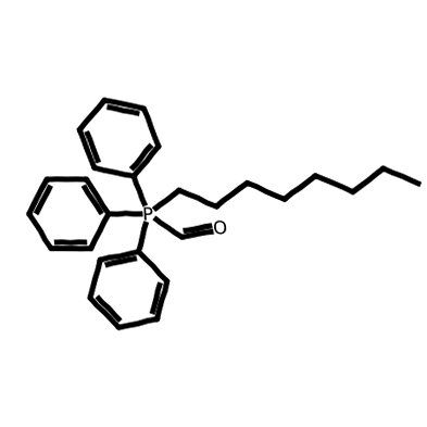 CCCCCCCCP(C=O)(c1ccccc1)(c1ccccc1)c1ccccc1